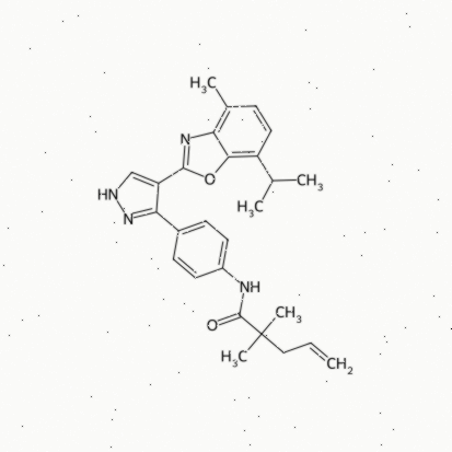 C=CCC(C)(C)C(=O)Nc1ccc(-c2n[nH]cc2-c2nc3c(C)ccc(C(C)C)c3o2)cc1